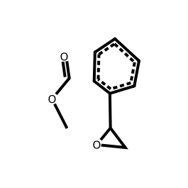 COC=O.c1ccc(C2CO2)cc1